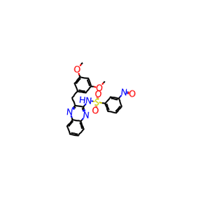 COc1cc(Cc2nc3ccccc3nc2NS(=O)(=O)c2cccc(N=O)c2)cc(OC)c1